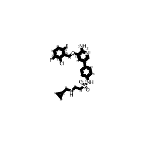 Nc1ncc(-c2ccc(NS(=O)(=O)CCNCC3CC3)cc2)cc1OCc1c(F)ccc(F)c1Cl